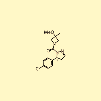 COC1(C)CN(C(=O)N2N=CC[C@H]2c2ccc(Cl)cc2)C1